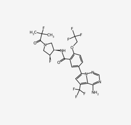 CC(C)(F)C(=O)N1C[C@H](F)[C@H](NC(=O)c2cc(-c3cc(C(F)(F)F)c4c(N)ncnn34)ccc2OCC(F)(F)F)C1